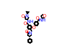 O=C(N[C@H]1CCOC1)c1ccc(Oc2cc(C(=O)N[C@H]3CC(=O)N(C4CC4)C3)ccc2CN2C[C@H](c3ccccc3)CC2=O)cc1